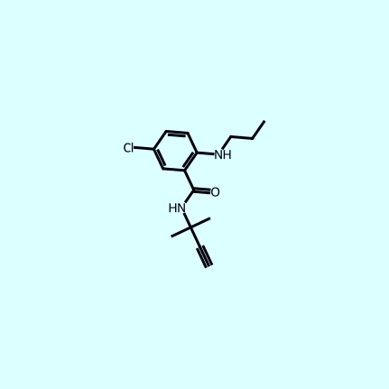 C#CC(C)(C)NC(=O)c1cc(Cl)ccc1NCCC